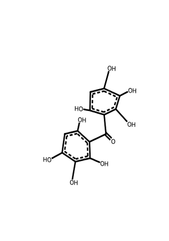 O=C(c1c(O)cc(O)c(O)c1O)c1c(O)cc(O)c(O)c1O